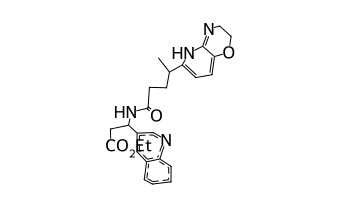 CCOC(=O)CC(NC(=O)CCC(C)C1=CC=C2OCCN=C2N1)c1cnc2ccccc2c1